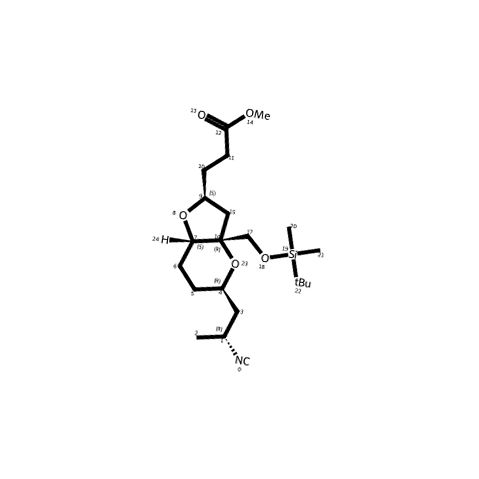 [C-]#[N+][C@H](C)C[C@H]1CC[C@@H]2O[C@@H](CCC(=O)OC)C[C@]2(CO[Si](C)(C)C(C)(C)C)O1